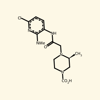 CNc1nc(Cl)ccc1NC(=O)CN1CCN(C(=O)O)C[C@@H]1C